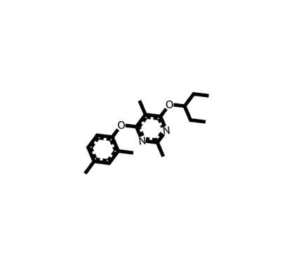 CCC(CC)Oc1nc(C)nc(Oc2ccc(C)cc2C)c1C